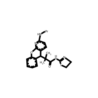 CC(C)Nc1ccc2c(n1)Oc1ccccc1C2C(C)(C)C(=O)NC1=NCCS1